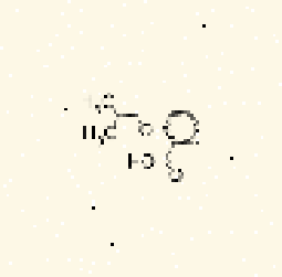 CC(C)COc1ccc[c]c1C(=O)O